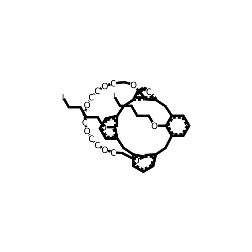 ICCCCOc1c2cccc1Cc1cccc3c1OCCOCCOCCOCCOCCOc1c(cccc1Cc1cccc(c1OCCCCI)C3)C2